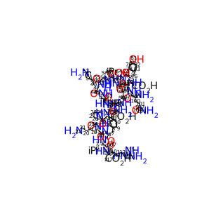 CC(C)C[C@H](NC(=O)[C@H](Cc1ccccc1)NC(=O)[C@H](CCCCN)NC(=O)[C@@H]1CCCN1C(=O)[C@H](CC(=O)O)NC(=O)[C@@H](NC(=O)CNC(=O)[C@H](CCCCN)NC(=O)[C@H](CC(C)C)NC(=O)[C@H](CO)NC(=O)[C@H](CCC(=O)O)NC(=O)[C@H](Cc1ccc(O)cc1)NC(=O)[C@H](CCCNC(=N)N)NC(=O)[C@@H](N)CCC(N)=O)C(C)C)C(=O)N[C@@H](CCCNC(=N)N)C(=O)O